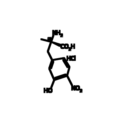 C[C@](N)(Cc1ccc([N+](=O)[O-])c(O)c1)C(=O)O.Cl